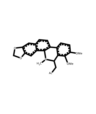 COc1ccc2c(c1OC)C(CC(C)=O)N(C)c1c-2ccc2cc3c(cc12)OCO3